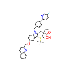 CCC(CC)(Cc1c(SC(C)(C)C)c2cc(OCc3ccc4ccccc4n3)ccc2n1Cc1ccc(-c2ccc(F)cn2)cc1)C(=O)O